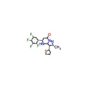 Cc1nn2c(=O)cc(-c3cc(F)c(F)c(F)c3F)[nH]c2c1-c1cccs1